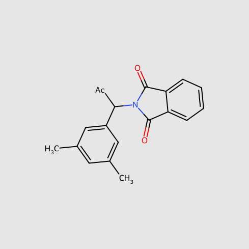 CC(=O)C(c1cc(C)cc(C)c1)N1C(=O)c2ccccc2C1=O